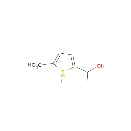 CC(O)C1=CC=C(C(=O)O)[SH]1C